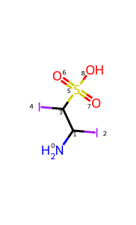 NC(I)C(I)S(=O)(=O)O